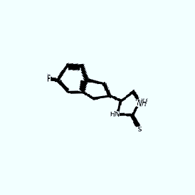 Fc1ccc2c(c1)CC(C1CNC(=S)N1)C2